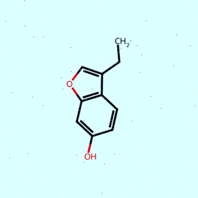 [CH2]Cc1coc2cc(O)ccc12